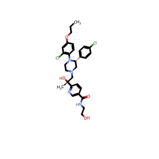 CCCOc1ccc(N2CCN(C[C@@](C)(O)c3ccc(C(=O)NCCO)cn3)C[C@H]2c2ccc(Cl)cc2)c(Cl)c1